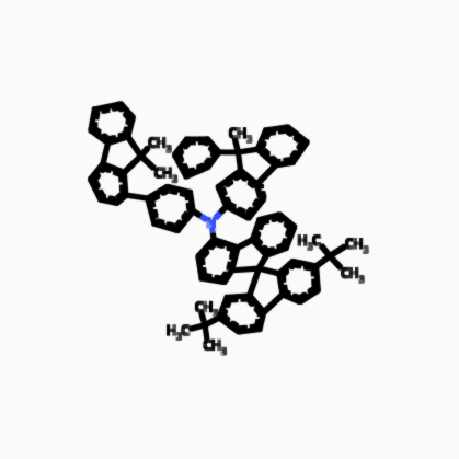 CC(C)(C)c1ccc2c(c1)C1(c3cc(C(C)(C)C)ccc3-2)c2ccccc2-c2c(N(c3ccc(-c4cccc5c4C(C)(C)c4ccccc4-5)cc3)c3ccc4c(c3)C(C)(c3ccccc3)c3ccccc3-4)cccc21